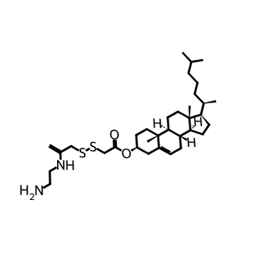 C=C(CSSCC(=O)O[C@H]1CC[C@@]2(C)C(=CC[C@H]3[C@@H]4CC[C@H]([C@H](C)CCCC(C)C)[C@@]4(C)CC[C@@H]32)C1)NCCN